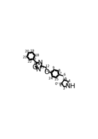 C[C@H]1CNC[C@H]1Cc1ccc(OCc2noc(-c3ccccc3)n2)cc1